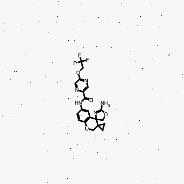 NC1=NC2(CO1)c1cc(NC(=O)c3cnc(OCC(F)(F)F)cn3)ccc1OCC21CC1